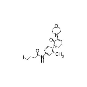 Cc1cc(NC(=O)CCCI)ccc1N1CCC=C(N2CCOCC2)C1=O